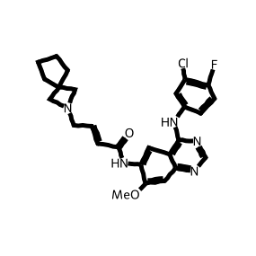 COc1cc2ncnc(Nc3ccc(F)c(Cl)c3)c2cc1NC(=O)C=CCN1CC2(CCCC2)C1